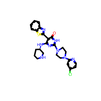 O=c1[nH]c(N2CCN(c3cc(Cl)ccn3)CC2)nc(N[C@@H]2CCCNC2)c1-c1nc2ccccc2s1